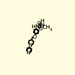 CNS(=O)(=O)Nc1ccc(OCC2CCN(c3ccncc3)CC2)cc1